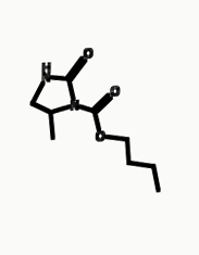 CCCCOC(=O)N1C(=O)NCC1C